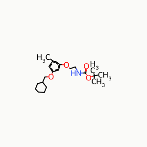 Cc1cc(OCCNC(=O)OC(C)(C)C)cc(OCC2CCCCC2)c1